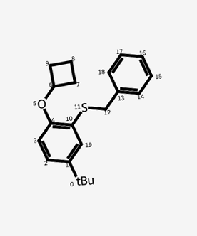 CC(C)(C)c1ccc(OC2CCC2)c(SCc2ccccc2)c1